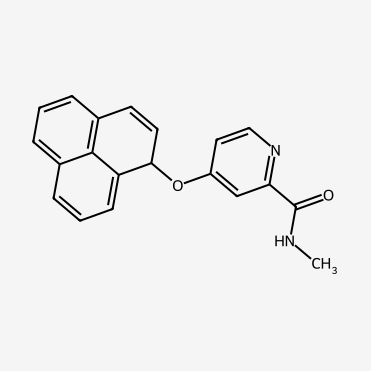 CNC(=O)c1cc(OC2C=Cc3cccc4cccc2c34)ccn1